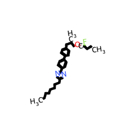 CCCCCCCCc1cnc(-c2ccc(-c3ccc(C[C@H](C)COCC(F)CCC)cc3)cc2)nc1